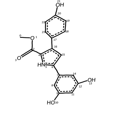 COC(=O)c1[nH]c(-c2cc(O)cc(O)c2)cc1-c1ccc(O)cc1